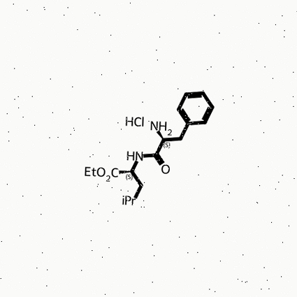 CCOC(=O)[C@H](CC(C)C)NC(=O)[C@@H](N)Cc1ccccc1.Cl